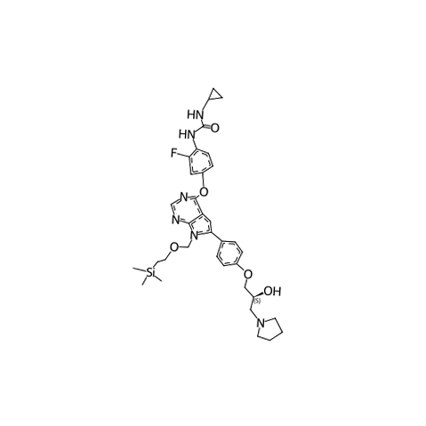 C[Si](C)(C)CCOCn1c(-c2ccc(OC[C@@H](O)CN3CCCC3)cc2)cc2c(Oc3ccc(NC(=O)NC4CC4)c(F)c3)ncnc21